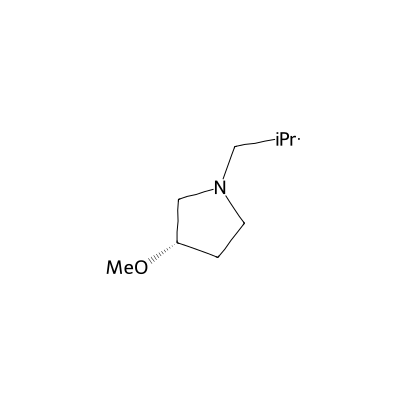 CO[C@H]1CCN(C[C](C)C)C1